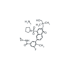 Cc1c(F)cc(C(=O)NC2CC2)cc1-c1ccc2c(=O)n(CC(C)(C)CO)cc(S(=O)(=O)N3CCC[C@@H]3CN)c2c1